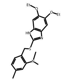 CCOc1cc2nc(SCc3ccc(C)cc3N(C)C)[nH]c2cc1OCC